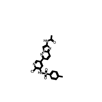 CC(=O)Nc1cn2nc(-c3cnc(Cl)c(NS(=O)(=O)c4ccc(C)cc4)c3)ccc2n1